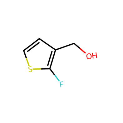 OCc1ccsc1F